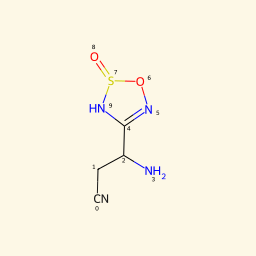 N#CCC(N)C1=NOS(=O)N1